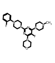 CN1CCN(c2nc(N3CCN(c4ccccc4F)CC3)nc(N3CCOCC3)c2F)CC1